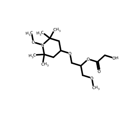 COCC(COC1CC(C)(C)N(OC)C(C)(C)C1)OC(=O)CO